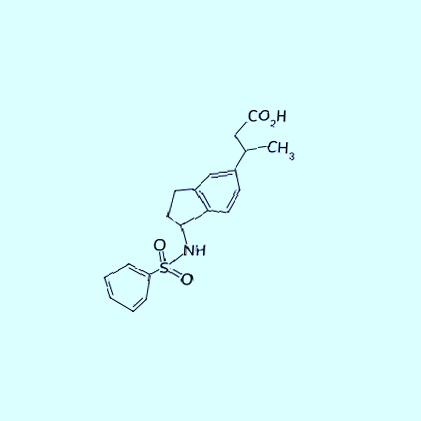 CC(CC(=O)O)c1ccc2c(c1)CCC2NS(=O)(=O)c1ccccc1